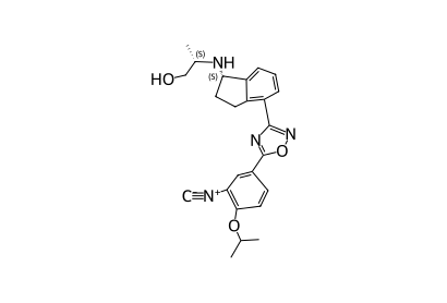 [C-]#[N+]c1cc(-c2nc(-c3cccc4c3CC[C@@H]4N[C@@H](C)CO)no2)ccc1OC(C)C